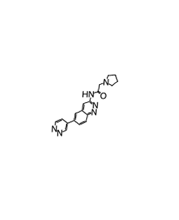 O=C(CN1CCCC1)Nc1cc2cc(-c3ccnnc3)ccc2nn1